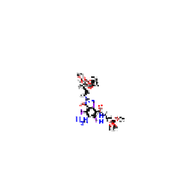 CCO[Si](CCCNC(=O)c1c(I)c(N)c(I)c(C(=O)NCCC[Si](OCC)(OCC)OCC)c1I)(OCC)OCC